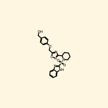 O=S(=O)(c1nc2ccccc2[nH]1)N1CCCCC1c1noc(COc2ccc(CO)cc2)n1